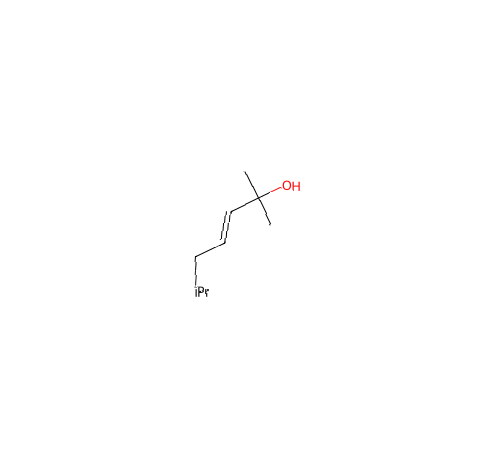 CC(C)CC=CC(C)(C)O